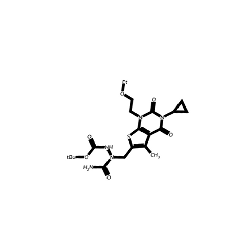 CCOCCn1c(=O)n(C2CC2)c(=O)c2c(C)c(CN(NC(=O)OC(C)(C)C)C(N)=O)sc21